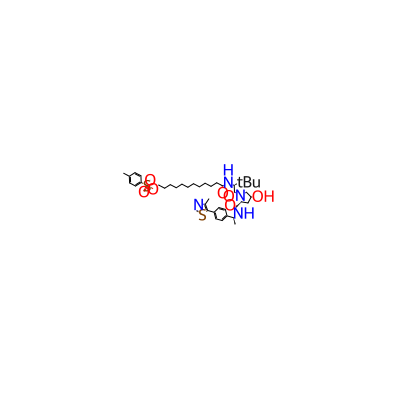 Cc1ccc(S(=O)(=O)OCCCCCCCCCCCC(=O)N[C@H](C(=O)N2C[C@H](O)C[C@H]2C(=O)N[C@@H](C)c2ccc(-c3scnc3C)cc2)C(C)(C)C)cc1